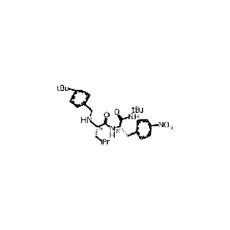 CC(C)C[C@H](NCc1ccc(C(C)(C)C)cc1)C(=O)N[C@@H](Cc1ccc([N+](=O)[O-])cc1)C(=O)NC(C)(C)C